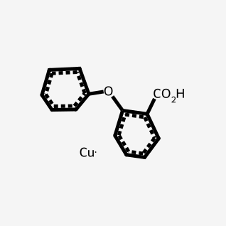 O=C(O)c1ccccc1Oc1ccccc1.[Cu]